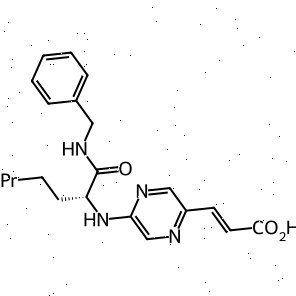 CC(C)CC[C@@H](Nc1cnc(C=CC(=O)O)cn1)C(=O)NCc1ccccc1